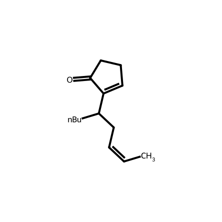 C/C=C\CC(CCCC)C1=CCCC1=O